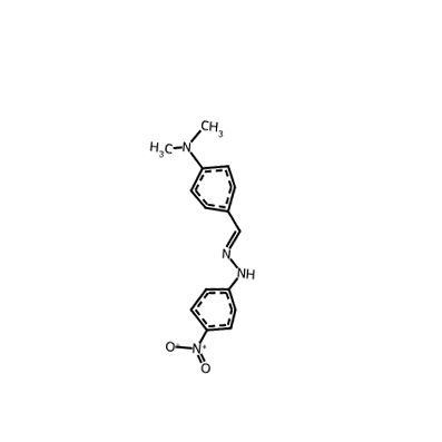 CN(C)c1ccc(C=NNc2ccc([N+](=O)[O-])cc2)cc1